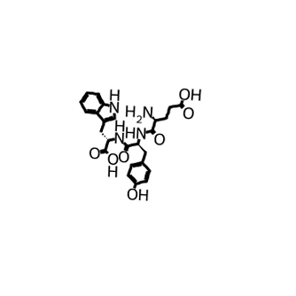 N[C@@H](CCC(=O)O)C(=O)N[C@@H](Cc1ccc(O)cc1)C(=O)N[C@@H](Cc1c[nH]c2ccccc12)C(=O)O